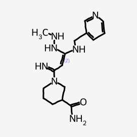 CNN/C(=C\C(=N)N1CCCC(C(N)=O)C1)NCc1cccnc1